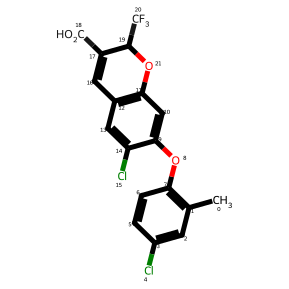 Cc1cc(Cl)ccc1Oc1cc2c(cc1Cl)C=C(C(=O)O)C(C(F)(F)F)O2